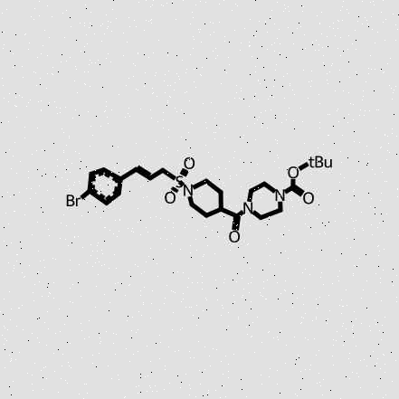 CC(C)(C)OC(=O)N1CCN(C(=O)C2CCN(S(=O)(=O)CC=Cc3ccc(Br)cc3)CC2)CC1